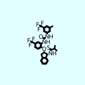 Cc1cc(NC(=O)Nc2cc(C(F)(F)F)ccc2O[C@@H]2Cc3ccccc3[C@H]2NC(=S)C(C)C)cc(C(F)(F)F)c1